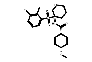 CO[C@H]1CC[C@H](C(=O)N[C@]2(S(=O)(=O)c3cccc(Cl)c3C)CCCNC2)CC1